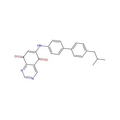 CC(C)Cc1ccc(-c2ccc(NC3=CC(=O)c4ncncc4C3=O)cc2)cc1